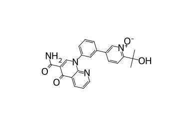 CC(C)(O)c1ccc(-c2cccc(-n3cc(C(N)=O)c(=O)c4cccnc43)c2)c[n+]1[O-]